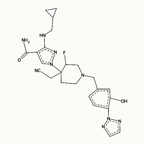 N#CCC1(n2cc(C(N)=O)c(NCC3CC3)n2)CCN(Cc2ccc(-n3nccn3)c(O)c2)CC1F